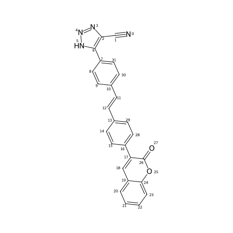 N#Cc1nn[nH]c1-c1ccc(C=Cc2ccc(-c3cc4ccccc4oc3=O)cc2)cc1